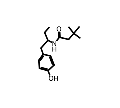 CCC(Cc1ccc(O)cc1)NC(=O)CC(C)(C)C